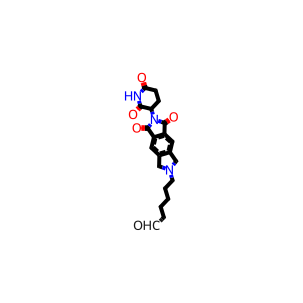 O=CCCCCCN1Cc2cc3c(cc2C1)C(=O)N(C1CCC(=O)NC1=O)C3=O